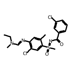 CCN(C)/C=N/c1cc(C)c(S(C)(=O)=NC(=O)c2cccc(Cl)c2)cc1Cl